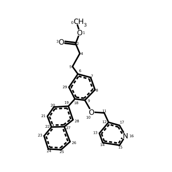 COC(=O)CCc1ccc(OCc2cccnc2)c(-c2ccc3ccccc3c2)c1